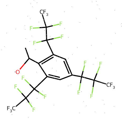 CC([O])c1c(C(F)(F)C(F)(F)C(F)(F)F)cc(C(F)(F)C(F)(F)C(F)(F)F)cc1C(F)(F)C(F)(F)C(F)(F)F